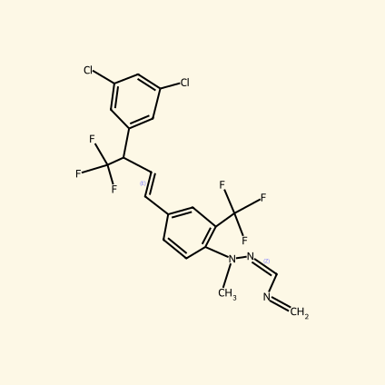 C=N/C=N\N(C)c1ccc(/C=C/C(c2cc(Cl)cc(Cl)c2)C(F)(F)F)cc1C(F)(F)F